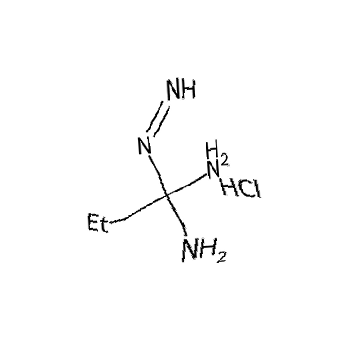 CCC(N)(N)N=N.Cl